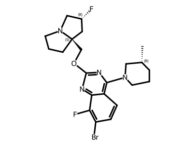 C[C@@H]1CCCN(c2nc(OC[C@@]34CCCN3C[C@H](F)C4)nc3c(F)c(Br)ccc23)C1